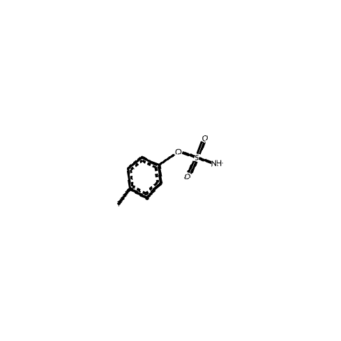 Cc1ccc(OS([NH])(=O)=O)cc1